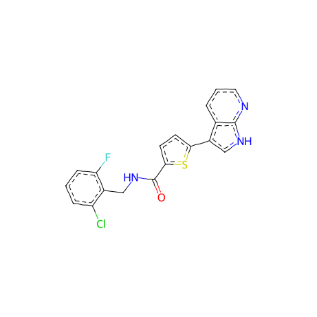 O=C(NCc1c(F)cccc1Cl)c1ccc(-c2c[nH]c3ncccc23)s1